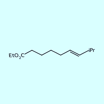 CCOC(=O)CCCC/C=C/C(C)C